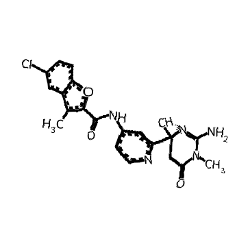 Cc1c(C(=O)Nc2ccnc(C3(C)CC(=O)N(C)C(N)=N3)c2)oc2ccc(Cl)cc12